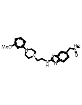 COc1cccc(N2CCN(CCNc3nc4ccc(C[SH](=O)=O)cc4s3)CC2)c1